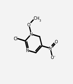 CON1CC([N+](=O)[O-])=CN=C1Cl